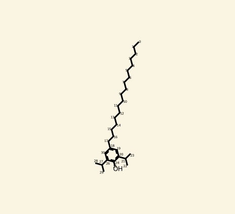 CCCCCCCCCCCCCCCCCCc1cc(C(C)C)c(O)c(C(C)C)c1